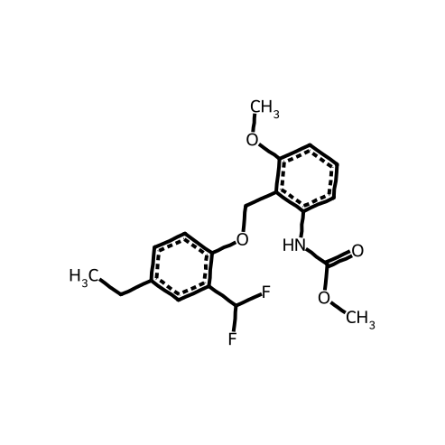 CCc1ccc(OCc2c(NC(=O)OC)cccc2OC)c(C(F)F)c1